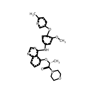 COc1cc(Nc2ncnc3cccc(O[C@H](C)C(=O)N4CCOCC4)c23)ccc1Oc1ccc(C)nc1